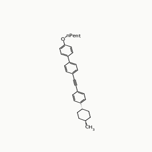 CCCCCOc1ccc(-c2ccc(C#Cc3ccc([C@H]4CC[C@H](C)CC4)cc3)cc2)cc1